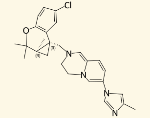 Cc1cn(C2=CN3CCN(C[C@]45C[C@@]4(C)C(C)(C)Oc4ccc(Cl)cc45)C=C3C=C2)cn1